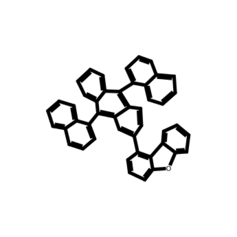 c1ccc2c(-c3c4ccccc4c(-c4cccc5ccccc45)c4cc(-c5cccc6oc7ccccc7c56)ccc34)cccc2c1